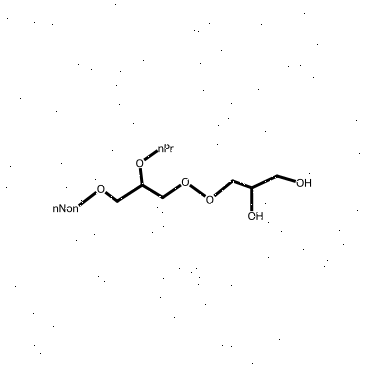 CCCCCCCCCOCC(COOCC(O)CO)OCCC